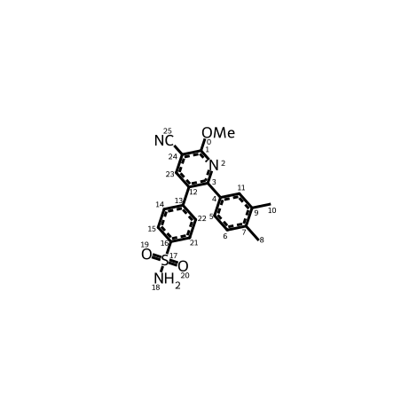 COc1nc(-c2ccc(C)c(C)c2)c(-c2ccc(S(N)(=O)=O)cc2)cc1C#N